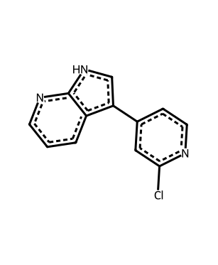 Clc1cc(-c2c[nH]c3ncccc23)ccn1